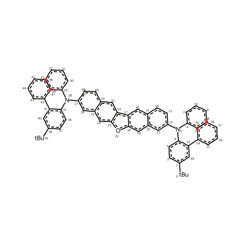 CC(C)(C)c1ccc(N(c2ccccc2)c2ccc3cc4c(cc3c2)oc2cc3cc(N(c5ccccc5)c5ccc(C(C)(C)C)cc5-c5ccccc5)ccc3cc24)c(-c2ccccc2)c1